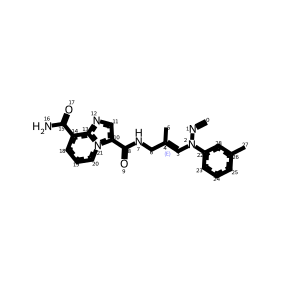 C=NN(/C=C(\C)CNC(=O)c1cnc2c(C(N)=O)cccn12)c1cccc(C)c1